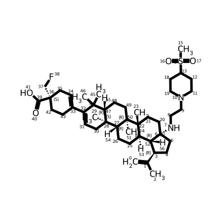 C=C(C)[C@@H]1CC[C@]2(NCCN3CCC(S(C)(=O)=O)CC3)CC[C@]3(C)[C@H](CC[C@@H]4[C@@]5(C)CC=C(C6=CC[C@](CF)(C(=O)O)CC6)C(C)(C)[C@@H]5CC[C@]43C)[C@@H]12